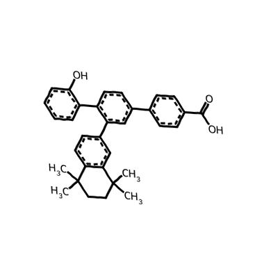 CC1(C)CCC(C)(C)c2cc(-c3cc(-c4ccc(C(=O)O)cc4)ccc3-c3ccccc3O)ccc21